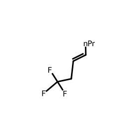 CCCC=CCC(F)(F)F